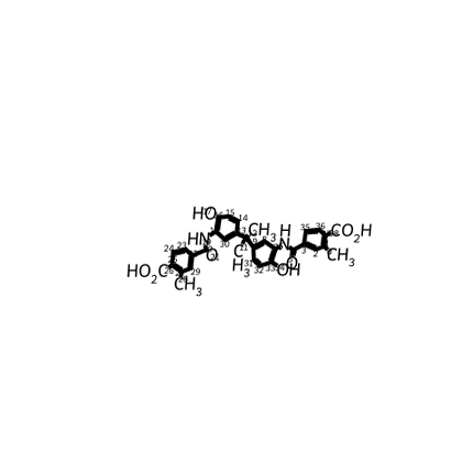 Cc1cc(C(=O)Nc2cc(C(C)(C)c3ccc(O)c(NC(=O)c4ccc(C(=O)O)c(C)c4)c3)ccc2O)ccc1C(=O)O